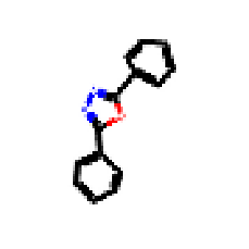 [c]1ccccc1-c1nnc(-c2ccccc2)o1